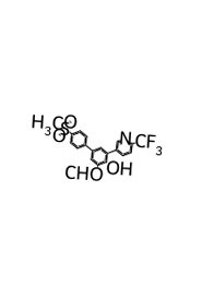 CS(=O)(=O)c1ccc(-c2cc(C=O)c(O)c(-c3ccc(C(F)(F)F)nc3)c2)cc1